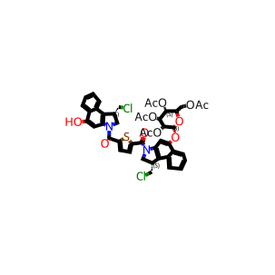 CC(=O)OCC1O[C@@H](Oc2cc3c(c4ccccc24)[C@H](CCl)CN3C(=O)c2ccc(C(=O)N3C[C@@H](CCl)c4c3cc(O)c3ccccc43)s2)C(OC(C)=O)C(OC(C)=O)[C@H]1OC(C)=O